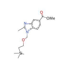 COC(=O)c1ccc2c(c1)nc(C)n2COCC[Si](C)(C)C